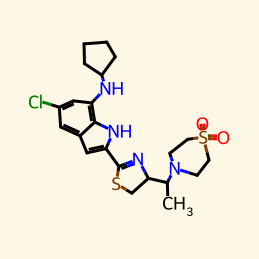 CC(C1CSC(c2cc3cc(Cl)cc(NC4CCCC4)c3[nH]2)=N1)N1CCS(=O)(=O)CC1